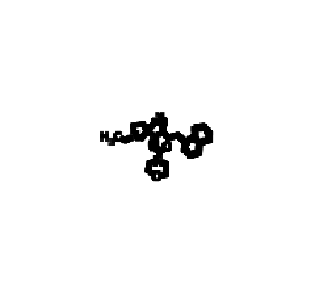 CCN1CCC(C#N)(NC(=O)C(Cc2cccc3ccccc23)OC(=O)N2CCOCC2)C1